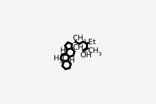 CCC(CCC(C)[C@H]1CC[C@H]2C3=CCC4CCCC[C@]4(C)[C@H]3CC[C@]12C)C(C)=CO